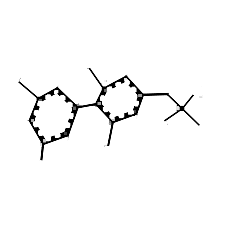 Cc1cc(C)cc(-c2c(C)cc(CC(C)(C)C(F)(F)F)cc2C)c1